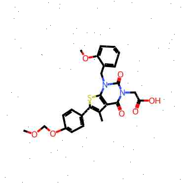 COCOc1ccc(-c2sc3c(c2C)c(=O)n(CC(=O)O)c(=O)n3Cc2ccccc2OC)cc1